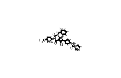 CCc1c(-c2ccc(NC(=O)n3ccnc3)cc2)sc2c1c(=O)n(-c1ccc(C)nn1)c(=O)n2Cc1c(F)cccc1F